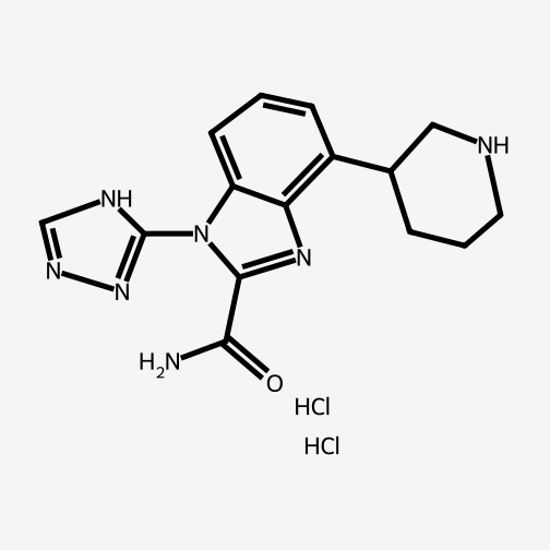 Cl.Cl.NC(=O)c1nc2c(C3CCCNC3)cccc2n1-c1nnc[nH]1